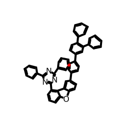 c1ccc(-c2nc(-c3ccccc3)nc(-c3cccc4oc5ccc(-c6ccc(-c7ccc(-c8ccccc8)c(-c8ccccc8)c7)cc6)cc5c34)n2)cc1